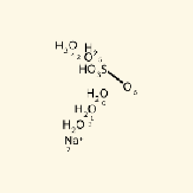 O.O.O.O.O.O=S(=O)([O-])O.[Na+]